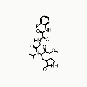 COCC(=O)C(CC1CCNC1=O)N(C(=O)CNC(=O)C(=O)Nc1ccccc1F)C(C)C